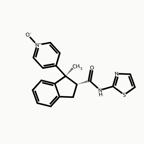 C[C@@]1(c2cc[n+]([O-])cc2)c2ccccc2C[C@H]1C(=O)Nc1nccs1